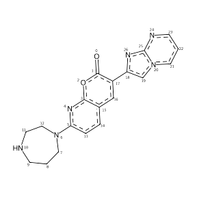 O=c1oc2nc(N3CCCNCC3)ccc2cc1-c1cn2cccnc2n1